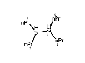 CCC[SiH](CCC)[SiH](CCC)CCC